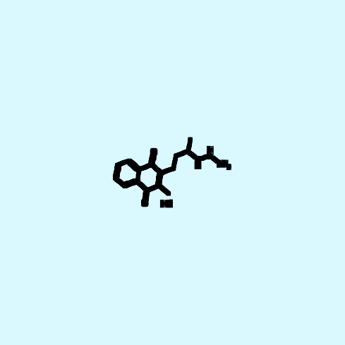 CC1=C(CCC(C)NNN)C(=O)c2ccccc2C1=O.Cl